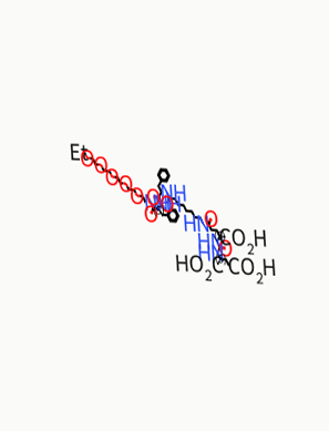 CCOCCOCCOCCOCCOCCNC(=O)[C@H](Cc1ccccc1)NC(=O)C(Cc1ccccc1)NC(=O)CCCCCCCNC(=O)CC[C@H](NC(=O)N[C@@H](CCC(=O)O)C(=O)O)C(=O)O